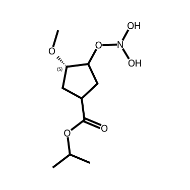 CO[C@H]1CC(C(=O)OC(C)C)CC1ON(O)O